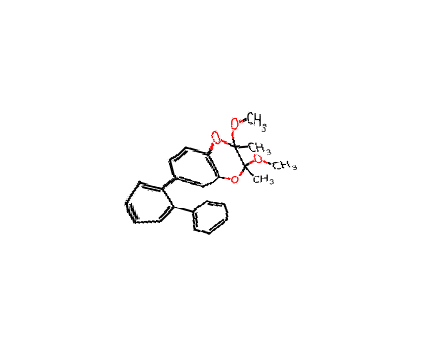 COC1(C)Oc2ccc(-c3ccccc3-c3ccccc3)cc2OC1(C)OC